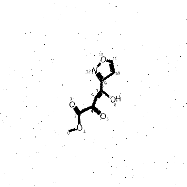 COC(=O)C(=O)/C=C(\O)c1ccon1